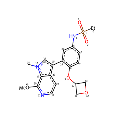 CCS(=O)(=O)Nc1ccc(OC2COC2)c(-c2cn(C)c3c(OC)nccc23)c1